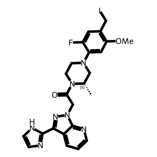 COc1cc(N2CCN(C(=O)Cn3nc(-c4ncc[nH]4)c4cccnc43)[C@@H](C)C2)c(F)cc1CI